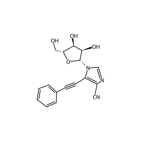 N#Cc1ncn([C@@H]2O[C@H](CO)[C@@H](O)[C@H]2O)c1C#Cc1ccccc1